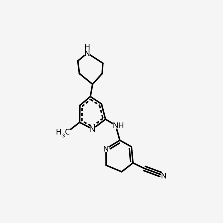 Cc1cc(C2CCNCC2)cc(NC2=NCCC(C#N)=C2)n1